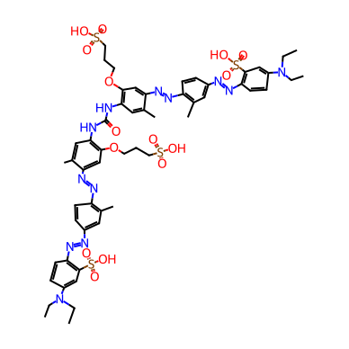 CCN(CC)c1ccc(N=Nc2ccc(N=Nc3cc(OCCCS(=O)(=O)O)c(NC(=O)Nc4cc(C)c(N=Nc5ccc(N=Nc6ccc(N(CC)CC)cc6S(=O)(=O)O)cc5C)cc4OCCCS(=O)(=O)O)cc3C)c(C)c2)c(S(=O)(=O)O)c1